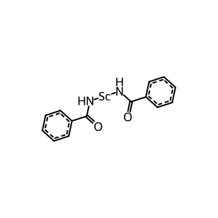 O=C([NH][Sc][NH]C(=O)c1ccccc1)c1ccccc1